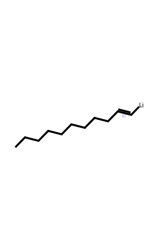 [Li]/[CH]=C/CCCCCCCCC